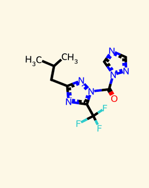 CC(C)Cc1nc(C(F)(F)F)n(C(=O)n2cncn2)n1